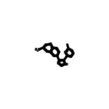 Cc1cccc(-c2[nH]cnc2-c2ccc3ncc(N)cc3c2)n1